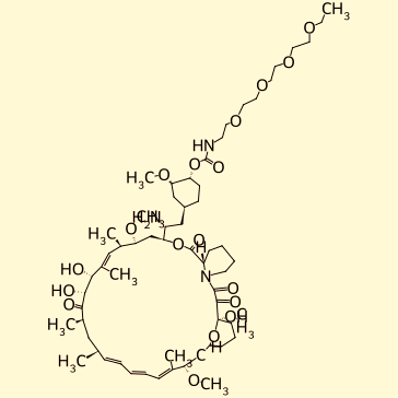 CCOCCOCCOCCOCCNC(=O)O[C@@H]1CC[C@@H](C[C@@H](N)[C@@H]2C[C@@H](OC)[C@H](C)/C=C(\C)[C@@H](O)[C@@H](O)C(=O)[C@H](C)C[C@H](C)/C=C/C=C/C=C(\C)[C@@H](OC)C[C@@H]3CC[C@@H](C)[C@@](O)(O3)C(=O)C(=O)N3CCCC[C@H]3C(=O)O2)C[C@H]1OC